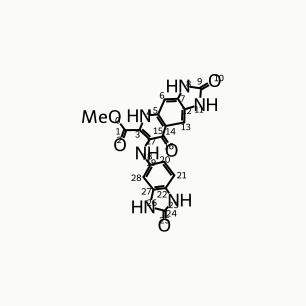 COC(=O)c1[nH]c2cc3[nH]c(=O)[nH]c3cc2c(=O)c1Nc1ccc2[nH]c(=O)[nH]c2c1